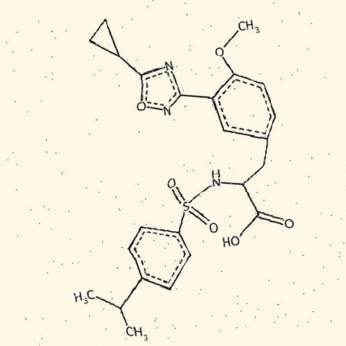 COc1ccc(CC(NS(=O)(=O)c2ccc(C(C)C)cc2)C(=O)O)cc1-c1noc(C2CC2)n1